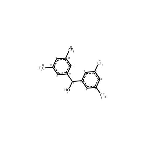 OC(c1cc(C(F)(F)F)cc(C(F)(F)F)c1)c1cc(C(F)(F)F)cc(C(F)(F)F)c1